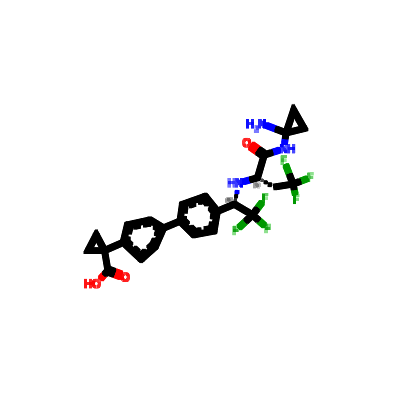 NC1(NC(=O)[C@H](CC(F)(F)F)N[C@@H](c2ccc(-c3ccc(C4(C(=O)O)CC4)cc3)cc2)C(F)(F)F)CC1